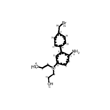 Nc1ccc(N(CCO)CCO)cc1-c1ccc(CBr)cc1